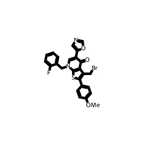 COc1ccc(-c2sc3c(c2CBr)c(=O)c(-c2cnco2)cn3Cc2ccccc2F)cc1